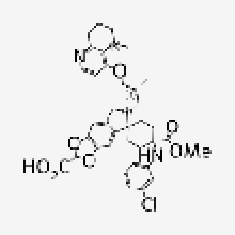 COC(=O)C1(Nc2cccc(Cl)c2)CCC2(CC1)c1cc3c(cc1C[C@@H]2C[C@@H](C)COc1ccnc2c1[C@H](C)CCC2)OC(C(=O)O)O3